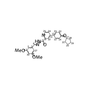 COc1cc(C=NNC(=O)c2cc(-c3ccc(OC4CCCC4)cc3)ccn2)cc(OC)c1